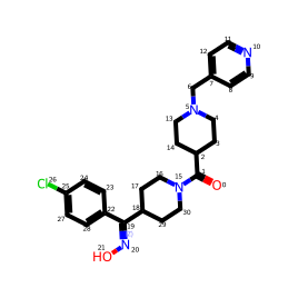 O=C(C1CCN(Cc2ccncc2)CC1)N1CCC(/C(=N/O)c2ccc(Cl)cc2)CC1